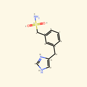 NS(=O)(=O)Cc1cccc(Cc2c[nH]cn2)c1